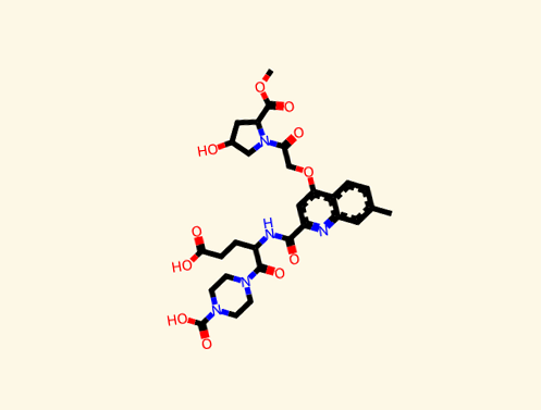 COC(=O)C1CC(O)CN1C(=O)COc1cc(C(=O)NC(CCC(=O)O)C(=O)N2CCN(C(=O)O)CC2)nc2cc(C)ccc12